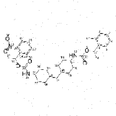 Cc1ccccc1C(C)OC(=O)NC1CCC(CC2CCC(NC(=O)OC(C)c3ccccc3[N+](=O)[O-])CC2)CC1